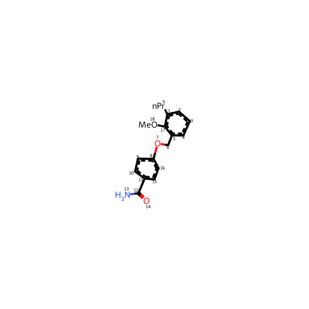 CCCc1cccc(COc2ccc(C(N)=O)cc2)c1OC